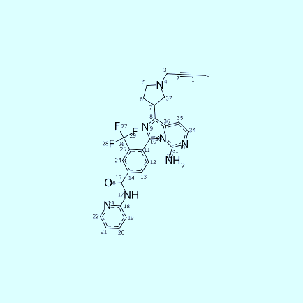 CC#CCN1CCC(c2nc(-c3ccc(C(=O)Nc4ccccn4)cc3C(F)(F)F)n3c(N)nccc23)C1